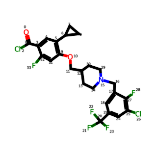 O=C(Cl)c1cc(C2CC2)c(OCC2CCN(Cc3cc(C(F)(F)F)cc(Cl)c3F)CC2)cc1F